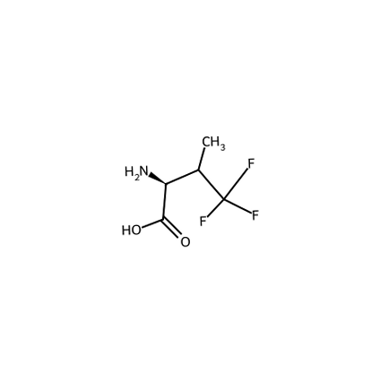 CC([C@H](N)C(=O)O)C(F)(F)F